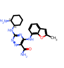 Cc1cc2cccc(Nc3nc(N[C@@H]4CCCC[C@@H]4N)nnc3C(N)=O)c2o1